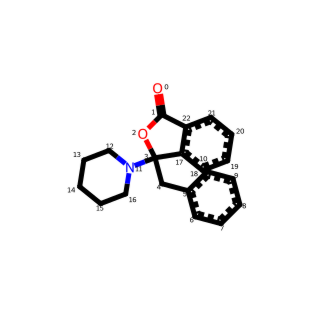 O=C1OC(Cc2ccccc2)(N2CCCCC2)c2ccccc21